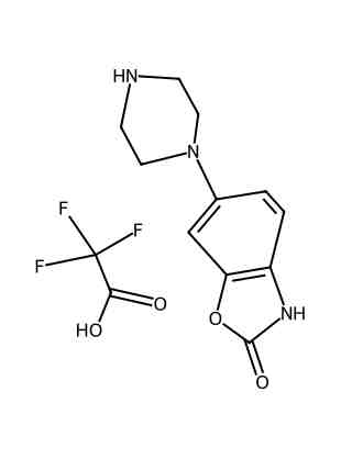 O=C(O)C(F)(F)F.O=c1[nH]c2ccc(N3CCNCC3)cc2o1